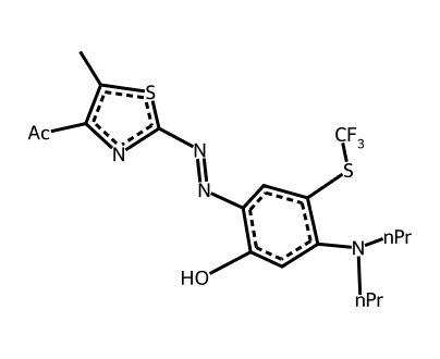 CCCN(CCC)c1cc(O)c(N=Nc2nc(C(C)=O)c(C)s2)cc1SC(F)(F)F